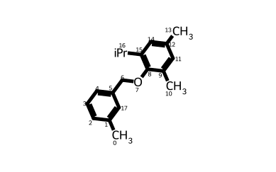 Cc1cccc(COc2c(C)cc(C)cc2C(C)C)c1